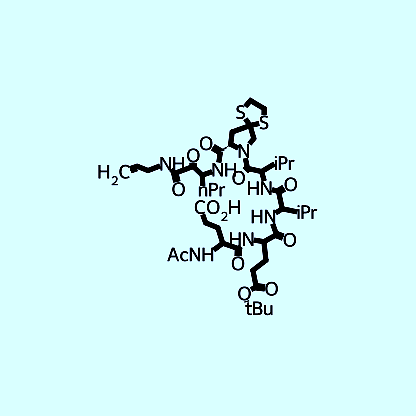 C=CCNC(=O)C(=O)C(CCC)NC(=O)[C@@H]1CC2(CN1C(=O)C(NC(=O)C(NC(=O)C(CCC(=O)OC(C)(C)C)NC(=O)C(CCC(=O)O)NC(C)=O)C(C)C)C(C)C)SCCS2